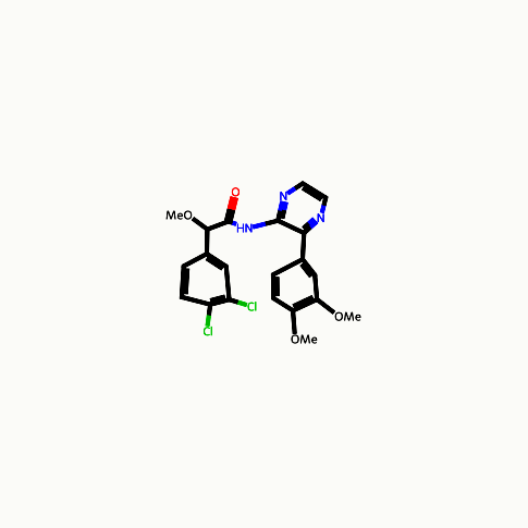 COc1ccc(-c2nccnc2NC(=O)C(OC)c2ccc(Cl)c(Cl)c2)cc1OC